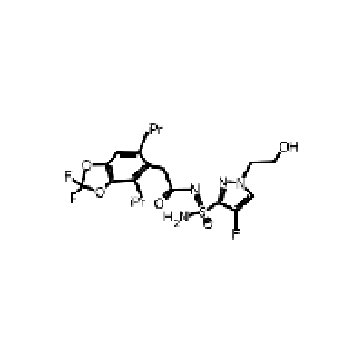 CC(C)c1cc2c(c(C(C)C)c1CC(=O)N=S(N)(=O)c1nn(CCO)cc1F)OC(F)(F)O2